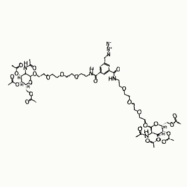 CC(=O)NC1C(OCCOCCOCCOCCNC(=O)c2cc(CN=[N+]=[N-])cc(C(=O)NCCOCCOCCOCCOC3O[C@H](COC(C)=O)[C@H](OC(C)=O)[C@H](OC(C)=O)C3NC(C)=O)c2)O[C@H](COC(C)=O)[C@H](OC(C)=O)[C@@H]1OC(C)=O